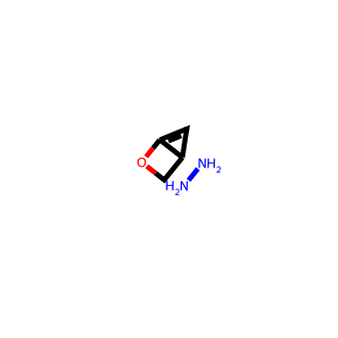 C1=C2OCC12.NN